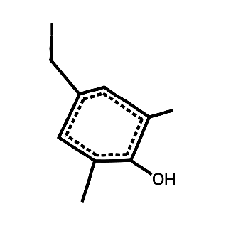 Cc1cc(CI)cc(C)c1O